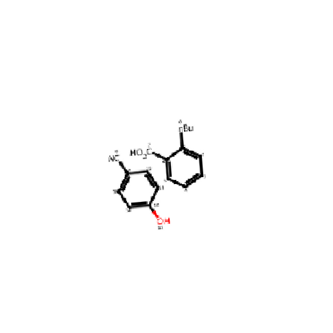 CCCCc1ccccc1C(=O)O.N#Cc1ccc(O)cc1